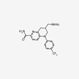 CC(=O)NCC1Cc2nc(C(N)=O)ccc2N(c2ccc(C(F)(F)F)cc2)C1